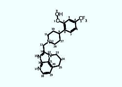 OOc1cc(C(F)(F)F)ccc1C1CCN(Cc2nc3nccc4c3n2CCC4)CC1